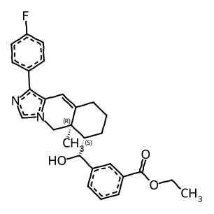 CCOC(=O)c1cccc(C(O)[C@H]2CCCC3=Cc4c(-c5ccc(F)cc5)ncn4C[C@@]32C)c1